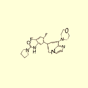 O=C(Nc1cc(-c2cc(N3CCOCC3)c3nccn3c2)c(F)cc1F)N1CCCC1